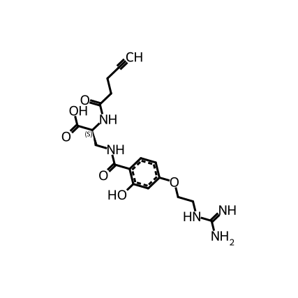 C#CCCC(=O)N[C@@H](CNC(=O)c1ccc(OCCNC(=N)N)cc1O)C(=O)O